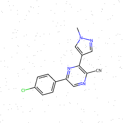 Cn1cc(-c2nc(-c3ccc(Cl)cc3)cnc2C#N)cn1